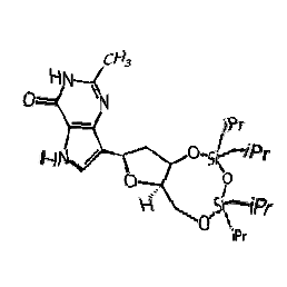 Cc1nc2c([C@H]3CC4O[Si](C(C)C)(C(C)C)O[Si](C(C)C)(C(C)C)OC[C@H]4O3)c[nH]c2c(=O)[nH]1